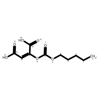 [CH2]CCCCOC(=O)OC(=CC(=O)O)C(=O)O